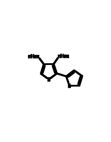 CCCCCCc1csc(-c2cccs2)c1CCCCCC